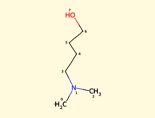 [CH2]N(C)CCCCO